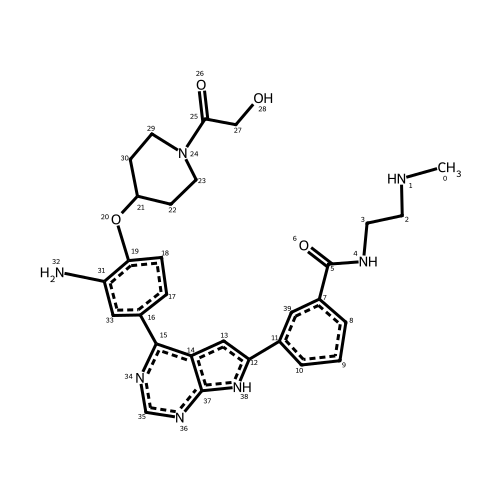 CNCCNC(=O)c1cccc(-c2cc3c(-c4ccc(OC5CCN(C(=O)CO)CC5)c(N)c4)ncnc3[nH]2)c1